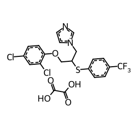 FC(F)(F)c1ccc(SC(COc2ccc(Cl)cc2Cl)Cn2ccnc2)cc1.O=C(O)C(=O)O